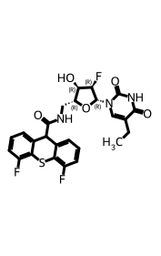 CCc1cn([C@@H]2O[C@H](CNC(=O)C3c4cccc(F)c4Sc4c(F)cccc43)[C@@H](O)[C@H]2F)c(=O)[nH]c1=O